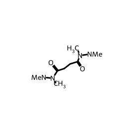 CNN(C)C(=O)CCC(=O)N(C)NC